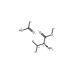 CC(=O)O.COC(=O)[C@@H](N)C(C)C